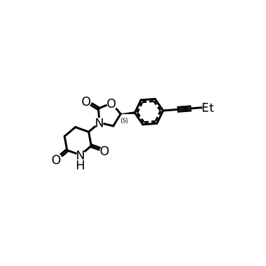 CCC#Cc1ccc([C@H]2CN(C3CCC(=O)NC3=O)C(=O)O2)cc1